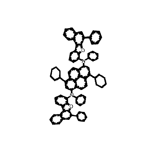 c1ccc(-c2cc3ccccc3c3c2oc2c(N(c4ccccc4)c4cc(C5CCCCC5)c5ccc6c(N(c7ccccc7)c7cccc8c7oc7c(-c9ccccc9)cc9ccccc9c78)cc(C7CCCCC7)c7ccc4c5c76)cccc23)cc1